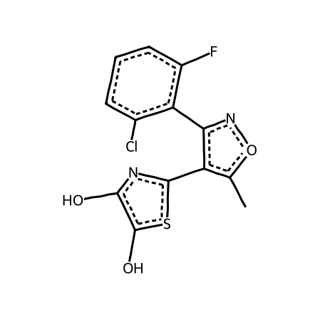 Cc1onc(-c2c(F)cccc2Cl)c1-c1nc(O)c(O)s1